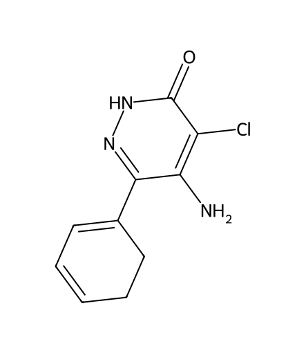 Nc1c(C2=CC=CCC2)n[nH]c(=O)c1Cl